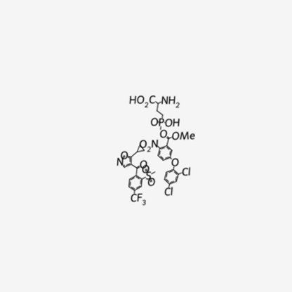 COC(=O)c1cc(Oc2ccc(Cl)cc2Cl)ccc1[N+](=O)[O-].CP(=O)(O)CCC(N)C(=O)O.CS(=O)(=O)c1cc(C(F)(F)F)ccc1C(=O)c1cnoc1C1CC1